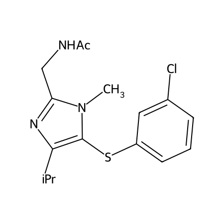 CC(=O)NCc1nc(C(C)C)c(Sc2cccc(Cl)c2)n1C